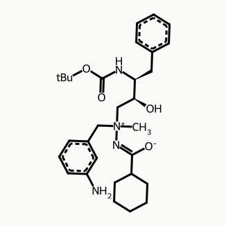 CC(C)(C)OC(=O)N[C@@H](Cc1ccccc1)[C@@H](O)C[N+](C)(Cc1cccc(N)c1)/N=C(\[O-])C1CCCCC1